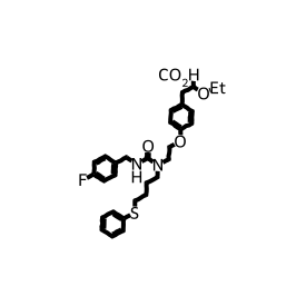 CCOC(Cc1ccc(OCCN(CCCCSc2ccccc2)C(=O)NCc2ccc(F)cc2)cc1)C(=O)O